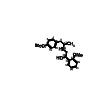 COc1ccc(CC(C)NCC(O)c2ccccc2OC)cc1